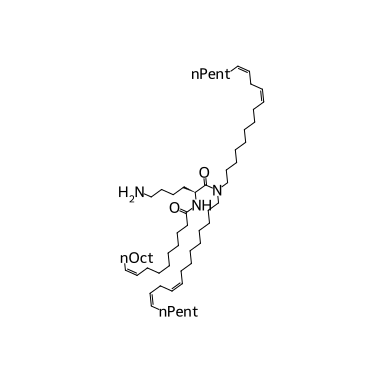 CCCCC/C=C\C/C=C\CCCCCCCCN(CCCCCCCC/C=C\C/C=C\CCCCC)C(=O)[C@H](CCCCN)NC(=O)CCCCCCC/C=C\CCCCCCCC